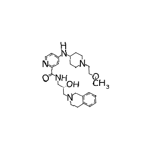 COCCN1CCC(Nc2ccnc(C(=O)NC[C@H](O)CN3CCc4ccccc4C3)c2)CC1